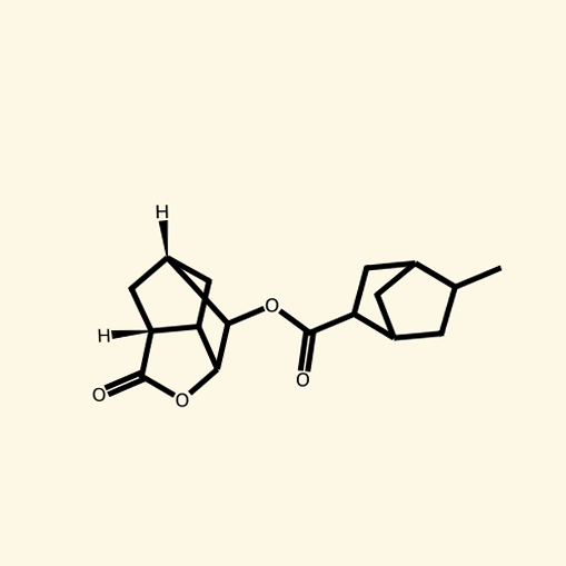 CC1CC2CC1CC2C(=O)OC1C2OC(=O)[C@@H]3C[C@@H]1CC23